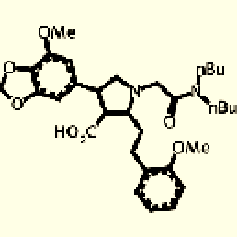 CCCCN(CCCC)C(=O)CN1CC(c2cc(OC)c3c(c2)OCO3)C(C(=O)O)C1CCc1ccccc1OC